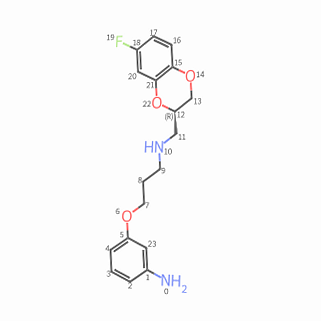 Nc1cccc(OCCCNC[C@@H]2COc3ccc(F)cc3O2)c1